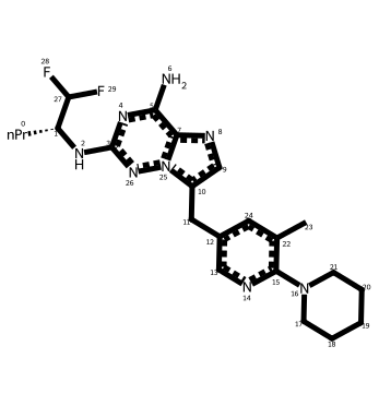 CCC[C@@H](Nc1nc(N)c2ncc(Cc3cnc(N4CCCCC4)c(C)c3)n2n1)C(F)F